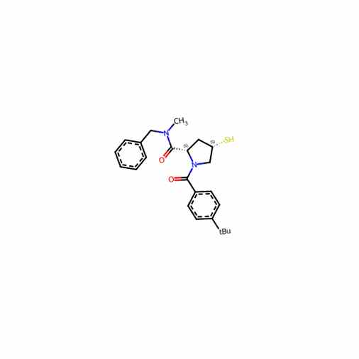 CN(Cc1ccccc1)C(=O)[C@@H]1C[C@H](S)CN1C(=O)c1ccc(C(C)(C)C)cc1